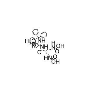 Cn1ncc(NC(=O)C(CCNC(=O)O)CCNC(=O)O)c1NC(c1ccccc1)(c1ccccc1)c1ccccc1